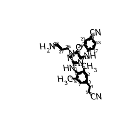 Cc1cc(CCC#N)cc(C)c1Nc1nc(Nc2ccc(C#N)cc2)c(=O)n(CC=CN)n1